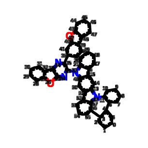 c1ccc2c(c1)-c1ccccc1-n1c3cc4c5ccccc5n(-c5nc6oc7ccccc7c6nc5-c5ccc6c(c5)oc5ccccc56)c4cc3c3cccc-2c31